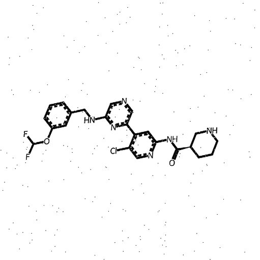 O=C(Nc1cc(-c2cncc(NCc3cccc(OC(F)F)c3)n2)c(Cl)cn1)[C@@H]1CCCNC1